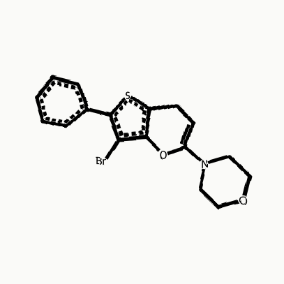 Brc1c(-c2ccccc2)sc2c1OC(N1CCOCC1)=CC2